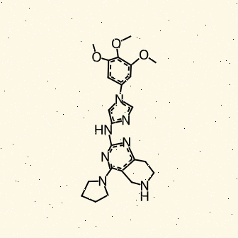 COc1cc(-n2cnc(Nc3nc4c(c(N5CCCC5)n3)CNCC4)c2)cc(OC)c1OC